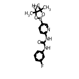 CC1(C)OB(c2ccc(NC(=O)Nc3cccc(F)c3)nc2)OC1(C)C